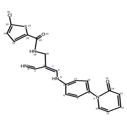 N=C/C(=C\Nc1ccc(-n2ccccc2=O)cc1)CNC(=O)c1ccc(Cl)s1